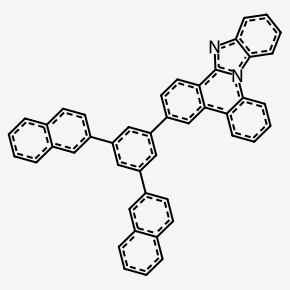 c1ccc2cc(-c3cc(-c4ccc5ccccc5c4)cc(-c4ccc5c(c4)c4ccccc4n4c6ccccc6nc54)c3)ccc2c1